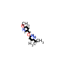 COc1ccc(COc2ccc(C(C)C)nn2)cn1